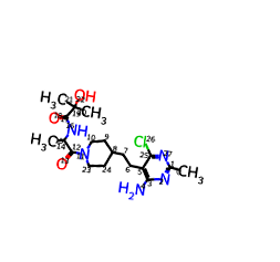 Cc1nc(N)c(CCC2CCN(C(=O)C(C)NC(=O)C(C)(C)O)CC2)c(Cl)n1